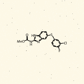 COC(=O)Nc1nc2cc(Sc3ccc(F)c(Cl)c3)ccc2[nH]1